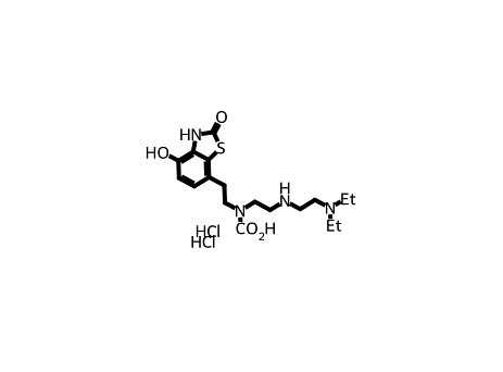 CCN(CC)CCNCCN(CCc1ccc(O)c2[nH]c(=O)sc12)C(=O)O.Cl.Cl